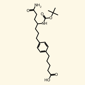 CC(C)(C)OC(=O)NC(CCCc1ccc(CCCCC(=O)O)cc1)CCC(N)=O